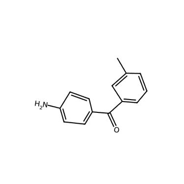 Cc1cccc(C(=O)c2ccc(N)cc2)c1